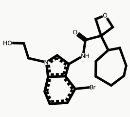 O=C(Nc1cn(CCO)c2cccc(Br)c12)C1(C2CCCCCC2)COC1